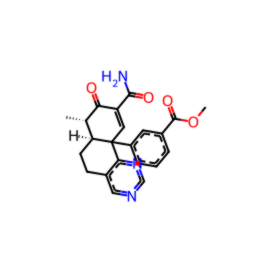 COC(=O)c1cccc(C23C=C(C(N)=O)C(=O)[C@@H](C)[C@@H]2CCc2cncnc23)c1